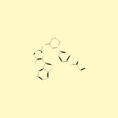 C=CC(=O)Nc1ccc(N2CCCC(Nc3ncc(Cl)c(-c4c[nH]c5ccccc45)n3)C2)nc1